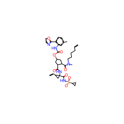 C=CCCCCN(C)C(=O)C1CC(OC(=O)Nc2cc(C)ccc2-c2ncco2)CC1C(=O)NC1(C(=O)NS(=O)(=O)C2CC2)CC1C=C